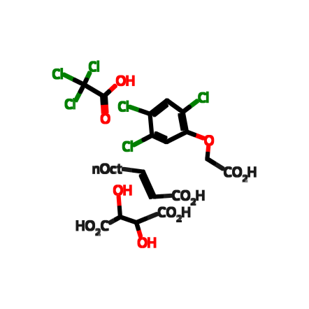 CCCCCCCCC=CC(=O)O.O=C(O)C(Cl)(Cl)Cl.O=C(O)C(O)C(O)C(=O)O.O=C(O)COc1cc(Cl)c(Cl)cc1Cl